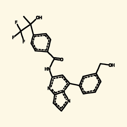 CC(O)(c1ccc(C(=O)Nc2cc(-c3cccc(CO)c3)n3nccc3n2)cc1)C(F)(F)F